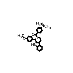 COc1ccc(C2c3[nH]c4ccccc4c3CCN2C(=O)c2ccc(N(C)C)cc2)cc1